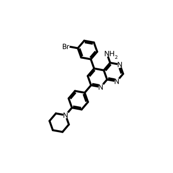 Nc1ncnc2nc(-c3ccc(N4CCCCC4)cc3)cc(-c3cccc(Br)c3)c12